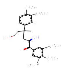 COc1ccc(C(C)(CCO)CC(=N)C(=O)c2cc(OC)c(OC)c(OC)c2)cc1OC